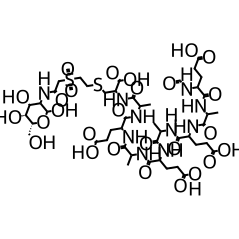 CC(NC(=O)C(CCC(=O)O)NC=O)C(=O)NC(CCC(=O)O)C(=O)NC(C)C(=O)NC(CCC(=O)O)C(=O)NC(C)C(=O)NC(CCC(=O)O)C(=O)NC(C)C(=O)NC(CSCCS(=O)(=O)CC(=O)NC1C(O)O[C@H](CO)[C@H](O)[C@@H]1O)C(=O)O